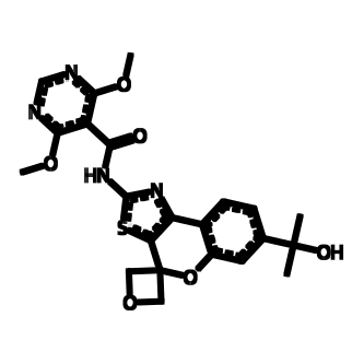 COc1ncnc(OC)c1C(=O)Nc1nc2c(s1)C1(COC1)Oc1cc(C(C)(C)O)ccc1-2